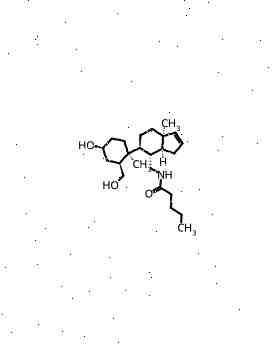 CCCCC(=O)NC[C@@H]1[C@@H]([C@]2(C)CC[C@H](O)C[C@@H]2CO)CC[C@@]2(C)C=CC[C@@H]12